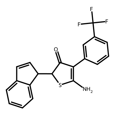 NC1=C(c2cccc(C(F)(F)F)c2)C(=O)C(C2C=Cc3ccccc32)S1